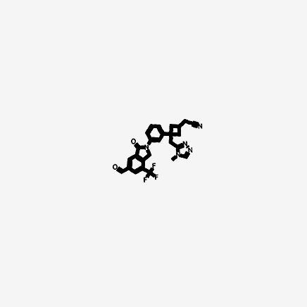 Cn1cnnc1CC1(c2cccc(N3Cc4c(cc(C=O)cc4C(F)(F)F)C3=O)c2)CC(CC#N)C1